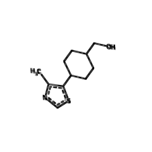 Cc1ncsc1C1CCC(CO)CC1